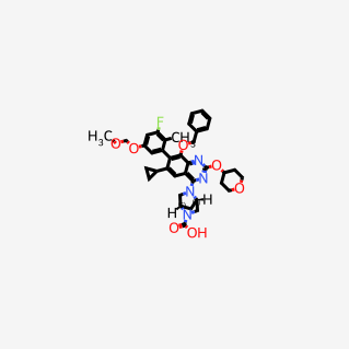 COCOc1cc(F)c(C)c(-c2c(C3CC3)cc3c(N4C[C@@H]5C[C@H]4CN5C(=O)O)nc(OC4CCOCC4)nc3c2OCc2ccccc2)c1